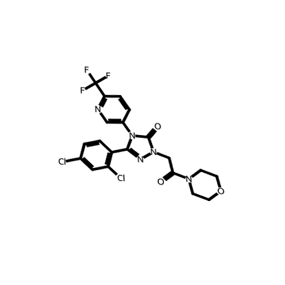 O=C(Cn1nc(-c2ccc(Cl)cc2Cl)n(-c2ccc(C(F)(F)F)nc2)c1=O)N1CCOCC1